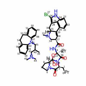 CC(C)C[C@H]1C(=O)N2CCC[C@H]2[C@]2(O)O[C@](NC(=O)[C@@H]3C=C4c5cccc6[nH]c(Br)c(c56)C[C@H]4N(C)C3)(C(C)C)C(=O)N12.CC(CN(C)C)CN1c2ccccc2CCc2ccccc21